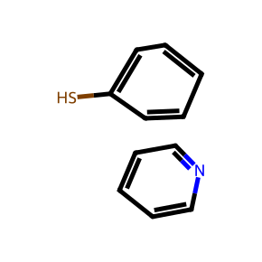 Sc1ccccc1.c1ccncc1